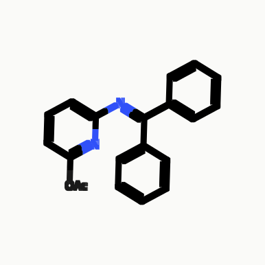 CC(=O)Oc1cccc(N=C(c2ccccc2)c2ccccc2)n1